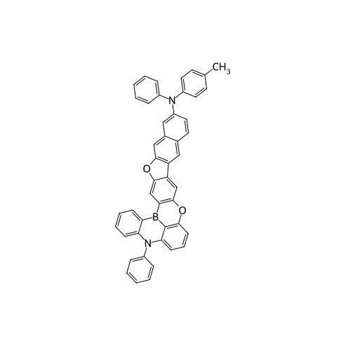 Cc1ccc(N(c2ccccc2)c2ccc3cc4c(cc3c2)oc2cc3c(cc24)Oc2cccc4c2B3c2ccccc2N4c2ccccc2)cc1